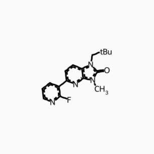 Cn1c(=O)n(CC(C)(C)C)c2ccc(-c3cccnc3F)nc21